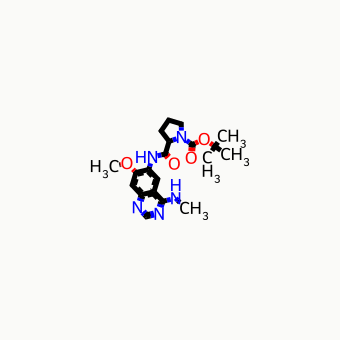 CNc1ncnc2cc(OC)c(NC(=O)C3CCCN3C(=O)OC(C)(C)C)cc12